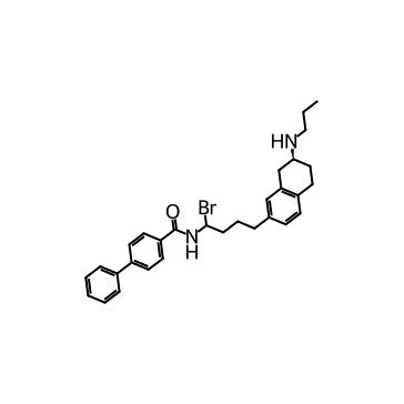 CCCN[C@H]1CCc2ccc(CCCC(Br)NC(=O)c3ccc(-c4ccccc4)cc3)cc2C1